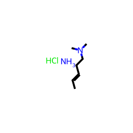 CC=CCCN(C)C.Cl.N